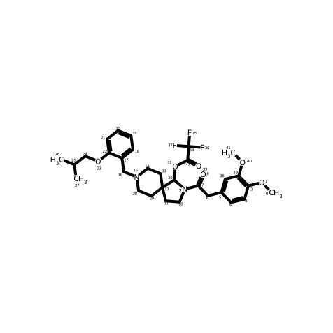 COc1ccc(CC(=O)N2CCC3(CCN(Cc4ccccc4OCC(C)C)CC3)C2OC(=O)C(F)(F)F)cc1OC